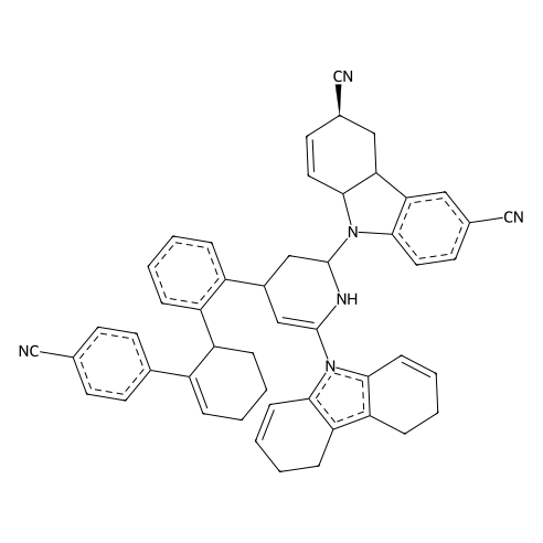 N#Cc1ccc(C2=CCCCC2c2ccccc2C2C=C(n3c4c(c5c3C=CCC5)CCC=C4)NC(N3c4ccc(C#N)cc4C4C[C@H](C#N)C=CC43)C2)cc1